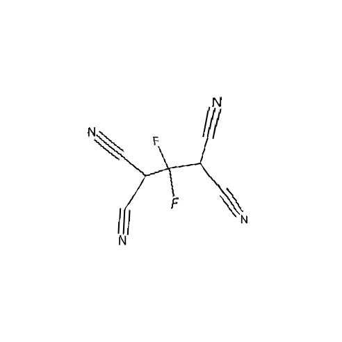 N#CC(C#N)C(F)(F)C(C#N)C#N